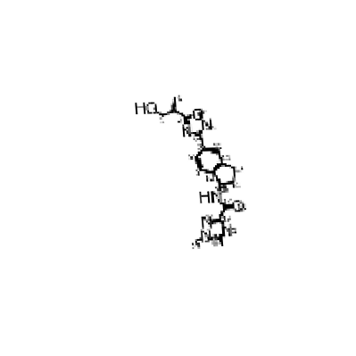 CC(CO)c1nc(-c2ccc3c(c2)CC[C@H]3NC(=O)c2nnn(C)n2)no1